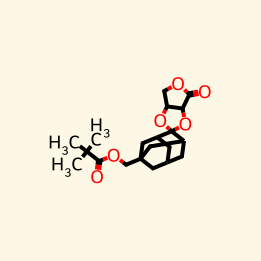 CC(C)(C)C(=O)OCC12CC3CC(C1)C1(OC4COC(=O)C4O1)C(C3)C2